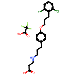 O=C(O)C(F)(F)F.O=C(O)CCNCCCc1ccc(OCCCc2c(Cl)cccc2Cl)cc1